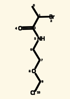 CC(Br)C(=O)NCCOCCl